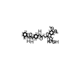 COc1ccc(C(CC(=O)O)NC(=O)CCC(=O)Nc2ccc(NC(=O)Nc3ccccc3C)cc2)cc1OC